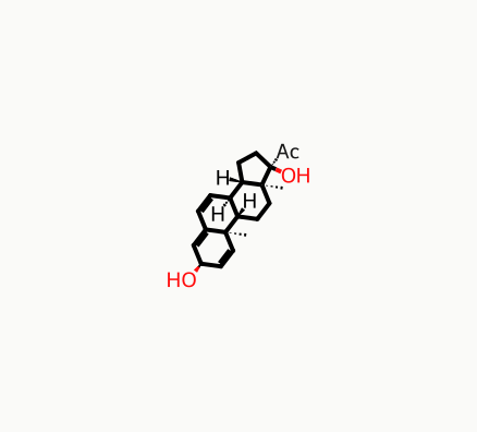 CC(=O)[C@@]1(O)CC[C@H]2[C@@H]3C=CC4=C[C@H](O)C=C[C@]4(C)[C@H]3CC[C@@]21C